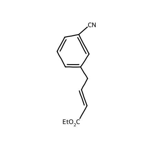 CCOC(=O)/C=C/Cc1cccc(C#N)c1